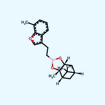 Cc1cccc2c(CCB3O[C@@H]4C[C@@H]5C[C@@H](C5(C)C)[C@]4(C)O3)coc12